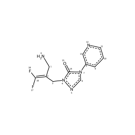 NCC(Cn1ncn(-c2cccnc2)c1=O)=C(F)F